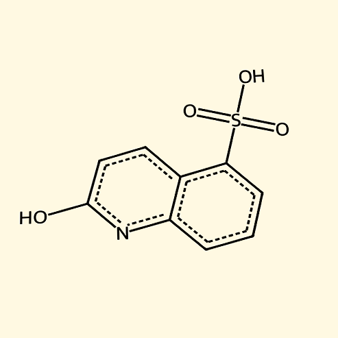 O=S(=O)(O)c1cccc2nc(O)ccc12